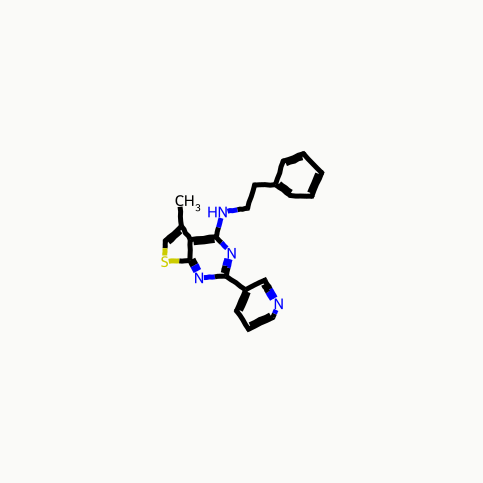 Cc1csc2nc(-c3cccnc3)nc(NCCc3ccccc3)c12